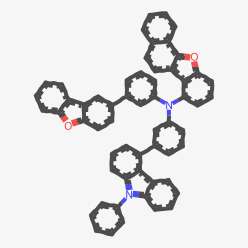 c1ccc(-n2c3ccccc3c3c(-c4cccc(N(c5cccc(-c6ccc7oc8ccccc8c7c6)c5)c5cccc6oc7c8ccccc8ccc7c56)c4)cccc32)cc1